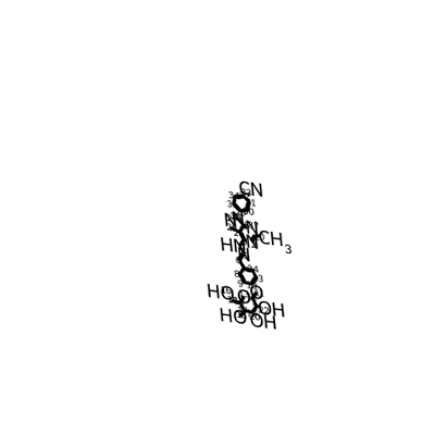 Cc1nc(NN=Cc2ccc(OC3OC(CO)C(O)C(O)C3O)cc2)c2cnn(-c3ccc(C#N)cc3)c2n1